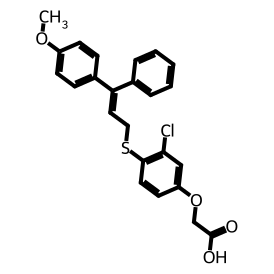 COc1ccc(C(=CCSc2ccc(OCC(=O)O)cc2Cl)c2ccccc2)cc1